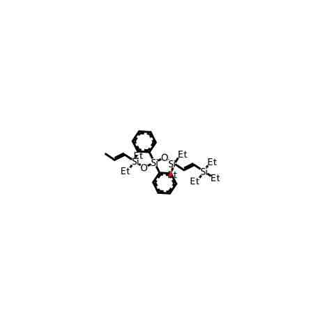 CC=C[Si](CC)(CC)O[Si](O[Si](C=C[Si](CC)(CC)CC)(CC)CC)(c1ccccc1)c1ccccc1